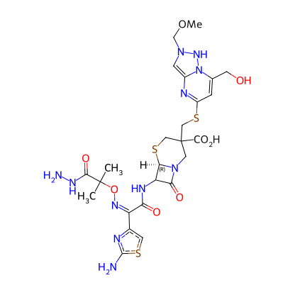 COCN1C=C2N=C(SCC3(C(=O)O)CS[C@@H]4C(NC(=O)C(=NOC(C)(C)C(=O)NN)c5csc(N)n5)C(=O)N4C3)C=C(CO)N2N1